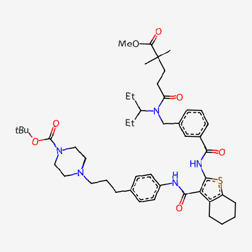 CCC(CC)N(Cc1cccc(C(=O)Nc2sc3c(c2C(=O)Nc2ccc(CCCN4CCN(C(=O)OC(C)(C)C)CC4)cc2)CCCC3)c1)C(=O)CCC(C)(C)C(=O)OC